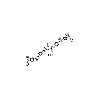 Cl.N#Cc1cc(-c2nc(-c3ccc(COC(=O)C[C@H](N)C(=O)OCc4ccc(-c5noc(-c6ccc(OC7CCCC7)c(C#N)c6)n5)cc4)cc3)no2)ccc1OC1CCCC1